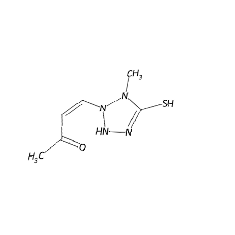 CC(=O)/C=C\N1NN=C(S)N1C